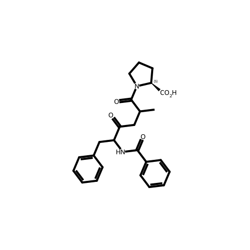 CC(CC(=O)C(Cc1ccccc1)NC(=O)c1ccccc1)C(=O)N1CCC[C@H]1C(=O)O